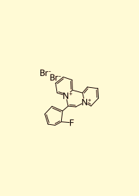 Fc1ccccc1-c1c[n+]2ccccc2c2cccc[n+]12.[Br-].[Br-]